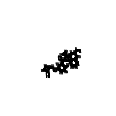 CCc1cc(C2(NC(=O)c3cc(OCC4CCN4)ccc3C)CC2)c2cccnc2c1